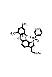 CNCc1cn(S(=O)(=O)c2cccnc2)c2cc(Nc3c(C)cc(C)cc3C)ccc12